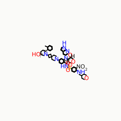 Cc1ccccc1[C@@H]1CC[C@](C)(O)CN1C1CC2(CCN(c3ccc(C(=O)NS(=O)(=O)c4ccc(NCC5CCOCC5)c([N+](=O)[O-])c4)c(N4c5cc6cc[nH]c6nc5O[C@H]5COCC[C@@H]54)c3)CC2)C1